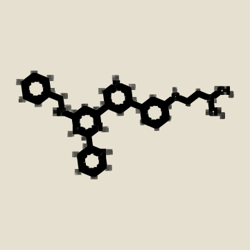 CN(C)CCOc1cccc(-c2cncc(-c3cc(NCc4ccccc4)nc(-c4ccccn4)n3)c2)c1